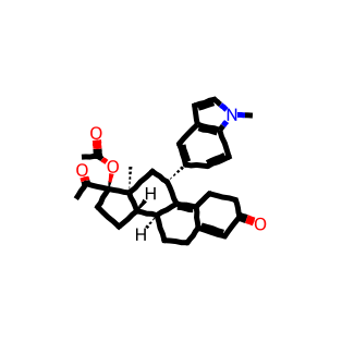 CC(=O)O[C@]1(C(C)=O)CC[C@H]2[C@@H]3CCC4=CC(=O)CCC4=C3[C@@H](c3ccc4c(ccn4C)c3)C[C@@]21C